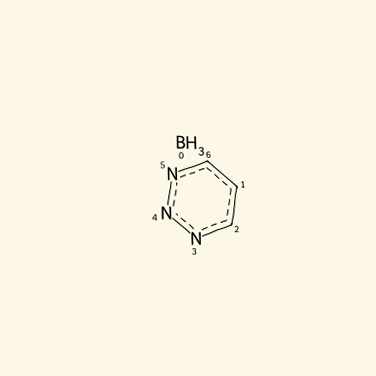 B.c1cnnnc1